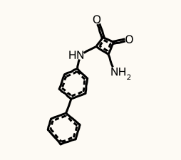 Nc1c(Nc2ccc(-c3ccccc3)cc2)c(=O)c1=O